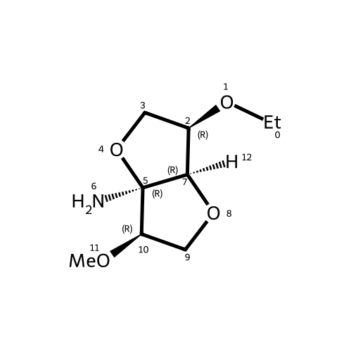 CCO[C@@H]1CO[C@@]2(N)[C@@H]1OC[C@H]2OC